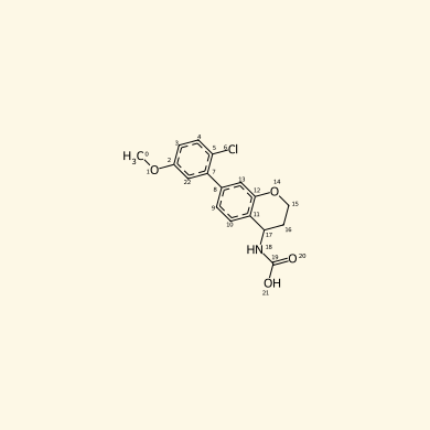 COc1ccc(Cl)c(-c2ccc3c(c2)OCCC3NC(=O)O)c1